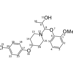 COc1ccccc1OC(C(C)O)N1CCC(Oc2ccc(Cl)cc2)CC1